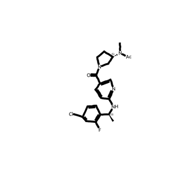 CC(=O)N(C)[C@H]1CCN(C(=O)c2ccc(N[C@@H](C)c3ccc(Cl)cc3F)nc2)C1